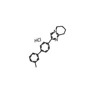 Cc1cccc(-c2ccc(-c3cn4c(n3)CCCC4)cc2)c1.Cl